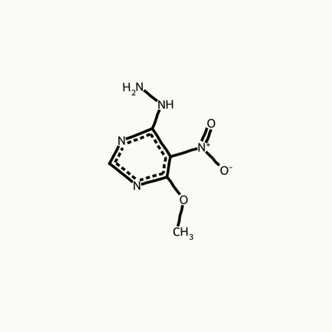 COc1ncnc(NN)c1[N+](=O)[O-]